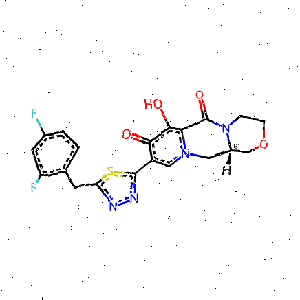 O=C1c2c(O)c(=O)c(-c3nnc(Cc4ccc(F)cc4F)s3)cn2C[C@H]2COCCN12